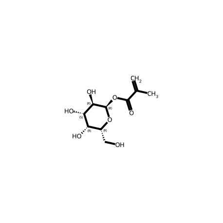 C=C(C)C(=O)O[C@H]1O[C@H](CO)[C@H](O)[C@H](O)[C@H]1O